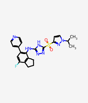 CC(C)n1ccc(S(=O)(=O)c2nnc(Nc3c(-c4ccncc4)cc(F)c4c3CCC4)[nH]2)n1